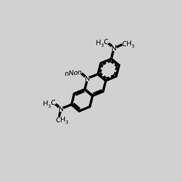 CCCCCCCCCN1C2=CC(N(C)C)=CCC2=Cc2ccc(N(C)C)cc21